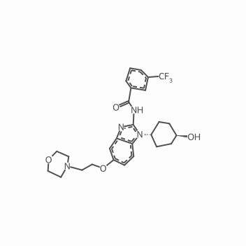 O=C(Nc1nc2cc(OCCN3CCOCC3)ccc2n1[C@H]1CC[C@H](O)CC1)c1cccc(C(F)(F)F)c1